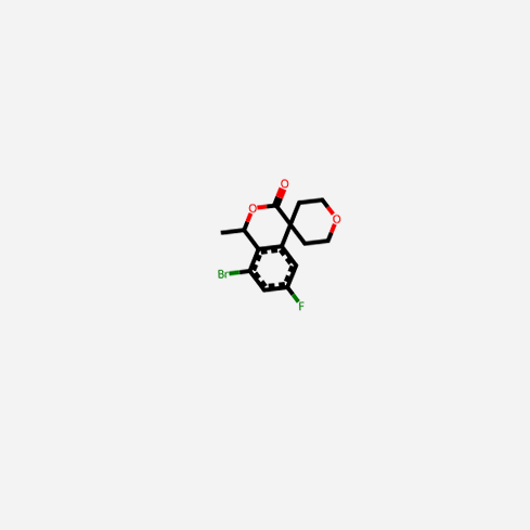 CC1OC(=O)C2(CCOCC2)c2cc(F)cc(Br)c21